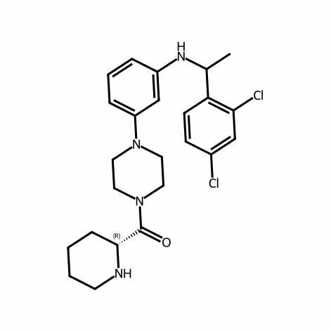 CC(Nc1cccc(N2CCN(C(=O)[C@H]3CCCCN3)CC2)c1)c1ccc(Cl)cc1Cl